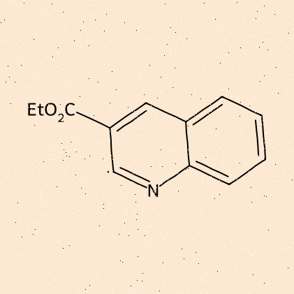 CCOC(=O)c1[c]nc2ccccc2c1